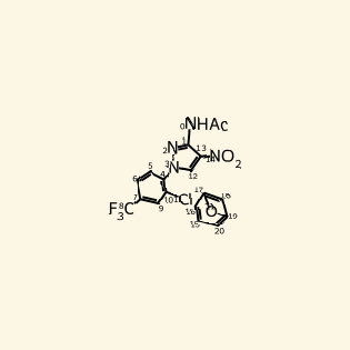 CC(=O)Nc1nn(-c2ccc(C(F)(F)F)cc2Cl)cc1[N+](=O)[O-].c1cc2cc(c1)O2